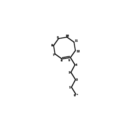 [CH2]CCCCC1=CCCCCCC1